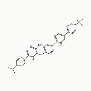 CC(C)c1ccc(C(=O)NC(Cc2ccc(-c3ncc(-c4ccc(C(C)(C)C)cc4)cn3)cc2)C(=O)O)cc1